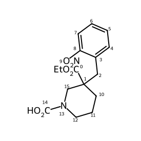 CCOC(=O)C1(Cc2ccccc2[N+](=O)[O-])CCCN(C(=O)O)C1